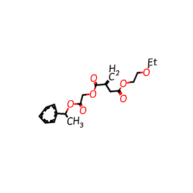 C=C(CC(=O)OCCOCC)C(=O)OCC(=O)OC(C)c1ccccc1